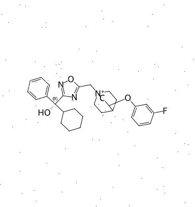 O[C@](c1ccccc1)(c1noc(C[N+]23CCC(CC2)C(Oc2cccc(F)c2)C3)n1)C1CCCCC1